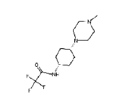 CN1CCN([C@H]2CC[C@@H](NC(=O)C(F)(F)F)CC2)CC1